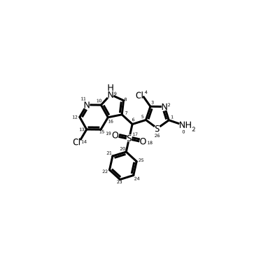 Nc1nc(Cl)c(C(c2c[nH]c3ncc(Cl)cc23)S(=O)(=O)c2ccccc2)s1